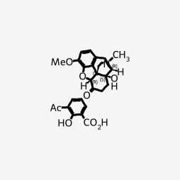 CC(=O)c1cccc(C(=O)O)c1O.COc1ccc2c3c1O[C@H]1C(=O)CC[C@@]4(O)[C@@H](C2)N(C)CC[C@]314